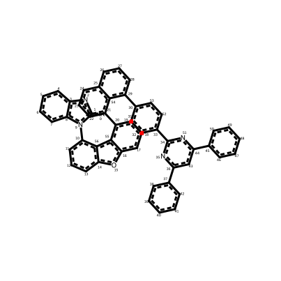 CCc1nc2ccccc2n1-c1cccc2oc3cccc(-c4cccc5cccc(-c6ccc(-c7nc(-c8ccccc8)cc(-c8ccccc8)n7)cc6)c45)c3c12